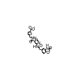 COC(=O)c1ccc(CNC(=O)c2cc(NC(=O)Cc3ccc4c(c3)NC(=O)CO4)ncn2)s1